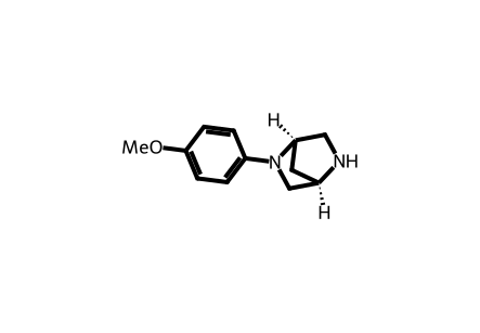 COc1ccc(N2C[C@H]3C[C@@H]2CN3)cc1